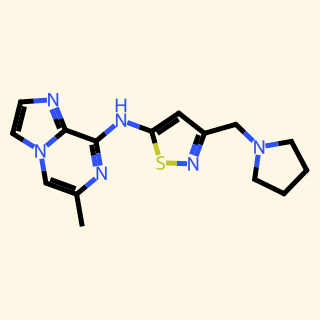 Cc1cn2ccnc2c(Nc2cc(CN3CCCC3)ns2)n1